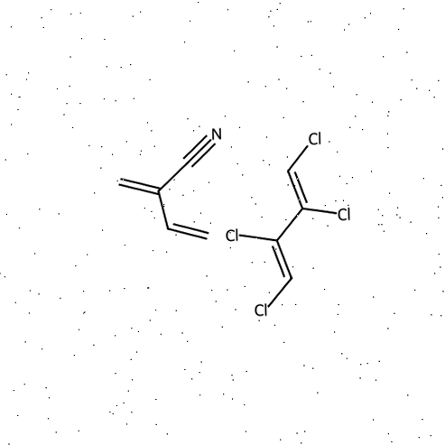 C=CC(=C)C#N.ClC=C(Cl)C(Cl)=CCl